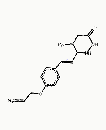 C=CCOc1ccc(/C=C/C2NNC(=O)CC2C)cc1